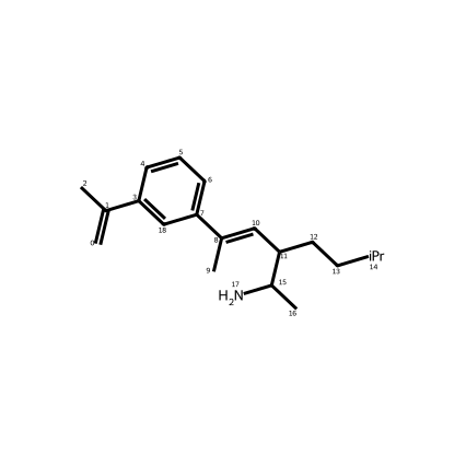 C=C(C)c1cccc(/C(C)=C/C(CCC(C)C)C(C)N)c1